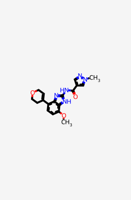 COc1ccc(C2=CCOCC2)c2nc(NC(=O)c3cnn(C)c3)[nH]c12